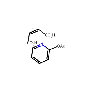 CC(=O)Oc1ccccn1.O=C(O)/C=C\C(=O)O